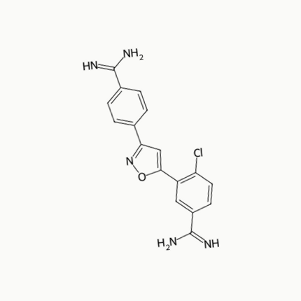 N=C(N)c1ccc(-c2cc(-c3cc(C(=N)N)ccc3Cl)on2)cc1